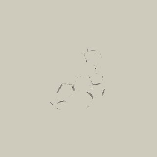 CS(=O)(=O)c1ccc(O[C@H]2c3cc(F)ccc3C[C@@H]2N2CCNCC2)cc1